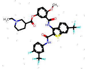 CCN1CCCC(C(=O)Oc2ccc(OC)c(C(=O)Nc3c(C(=O)Nc4ccc(F)c(C(F)(F)F)c4)sc4cc(C(F)(F)F)ccc34)c2)C1